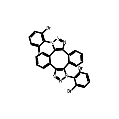 Brc1cccc(Br)c1-n1nnc2c1-c1ccccc1-c1nnn(-c3c(Br)cccc3Br)c1-c1ccccc1-2